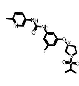 Cc1ccc(NC(=O)Nc2cc(F)cc(O[C@H]3CCN(S(=O)(=O)C(C)C)C3)c2)cn1